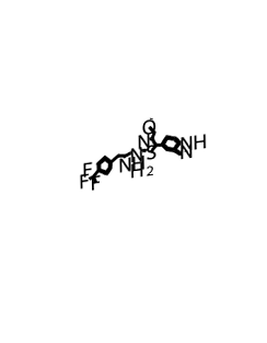 COCC1N=C(NC[C@@H](N)Cc2ccc(C(F)(F)F)cc2)SC1c1ccc2[nH]ncc2c1